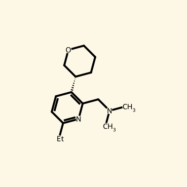 CCc1ccc([C@H]2CCCOC2)c(CN(C)C)n1